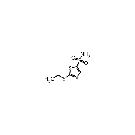 CCSc1ncc(S(N)(=O)=O)s1